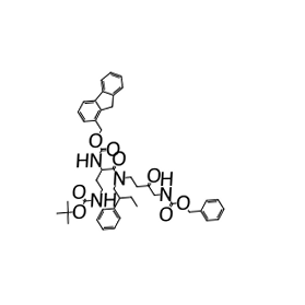 CCC(CN(CCC(=O)CNC(=O)OCc1ccccc1)C(=O)C(CCNC(=O)OC(C)(C)C)NC(=O)OCc1cccc2c1Cc1ccccc1-2)c1ccccc1